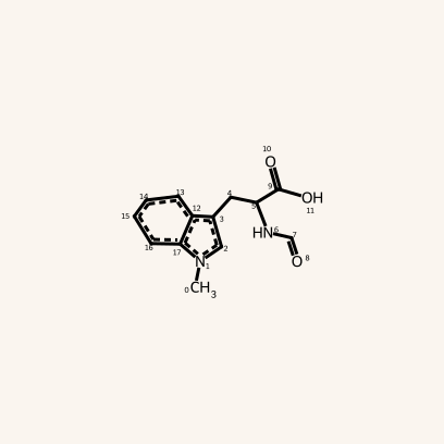 Cn1cc(CC(NC=O)C(=O)O)c2ccccc21